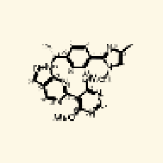 CCn1cc(C)nc1-c1ccc([C@@H](C)n2ncc3cnc(-c4c(OC)ncnc4OC)nc32)cc1